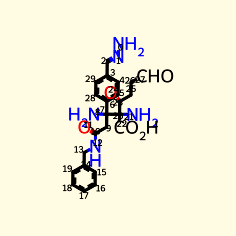 NN=Cc1ccc(C(N)(CC(=O)NCc2ccccc2)C(N)(C(=O)O)C(=O)CCC=O)cc1